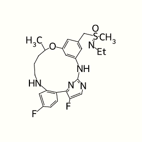 CCN=S(C)(=O)Cc1cc2cc(c1)OC(C)CCCNc1cc(F)ccc1-c1nc(ncc1F)N2